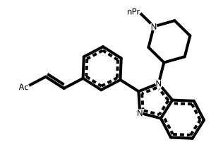 CCCN1CCCC(n2c(-c3cccc(/C=C/C(C)=O)c3)nc3ccccc32)C1